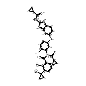 N#CC1(c2cccc(C(=O)N(C(=O)C3CC3)c3cc(Oc4ccc5nc(NC(=O)C6CC6)sc5n4)ccc3F)c2Cl)CC1